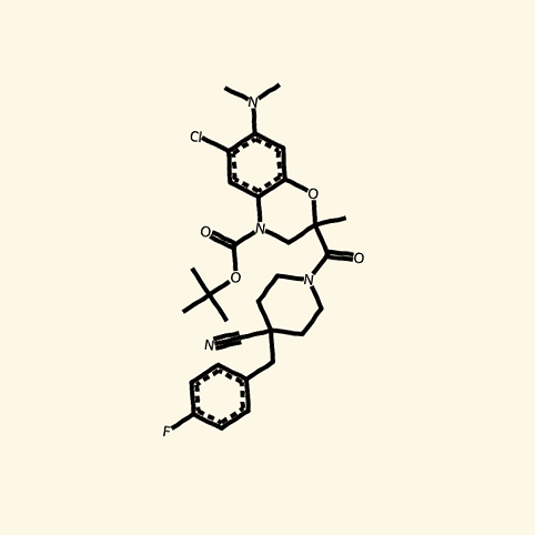 CN(C)c1cc2c(cc1Cl)N(C(=O)OC(C)(C)C)CC(C)(C(=O)N1CCC(C#N)(Cc3ccc(F)cc3)CC1)O2